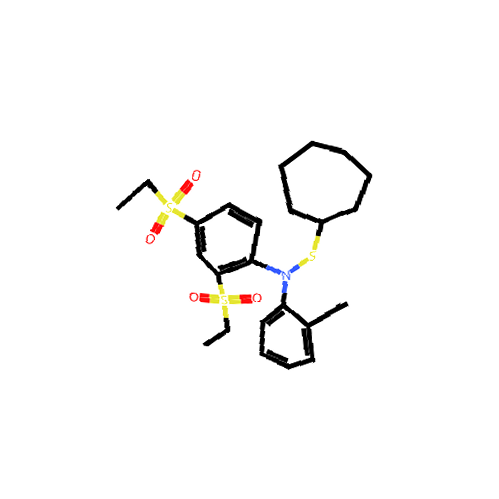 CCS(=O)(=O)c1ccc(N(SC2CCCCCC2)c2ccccc2C)c(S(=O)(=O)CC)c1